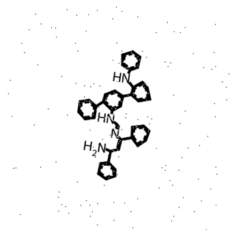 NC(/C=C(\N=C\Nc1cc(-c2ccccc2Nc2ccccc2)ccc1-c1ccccc1)c1ccccc1)c1ccccc1